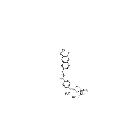 CCOc1cc2nc(/C=N/Nc3ccc([C@H](N4CC[C@](C)(NC(=O)O)C4)C(F)(F)F)cn3)ccc2cc1F